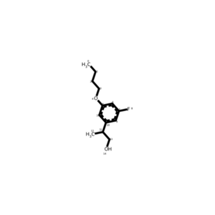 CCCCOc1cc(F)cc([C](C)CO)c1